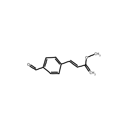 C=C(/C=C/c1ccc(C=O)cc1)OC